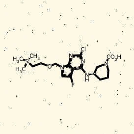 C[Si](C)(C)CCOCn1cc(F)c2c(N[C@@H]3CCCN(C(=O)O)C3)nc(Cl)nc21